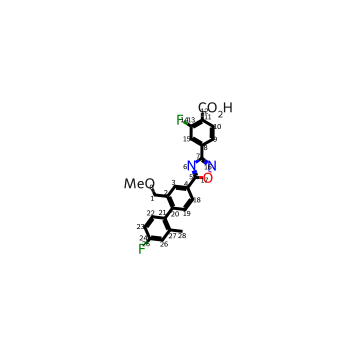 COCc1cc(-c2nc(-c3ccc(C(=O)O)c(F)c3)no2)ccc1-c1ccc(F)cc1C